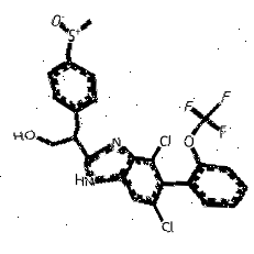 C[S+]([O-])c1ccc(C(CO)c2nc3c(Cl)c(-c4ccccc4OC(F)(F)F)c(Cl)cc3[nH]2)cc1